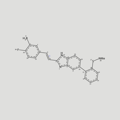 Bc1cc(/C=C/c2nc3cc(-c4ccccc4SNC)ccc3[nH]2)ccc1F